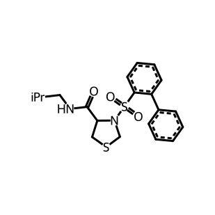 CC(C)CNC(=O)C1CSCN1S(=O)(=O)c1ccccc1-c1ccccc1